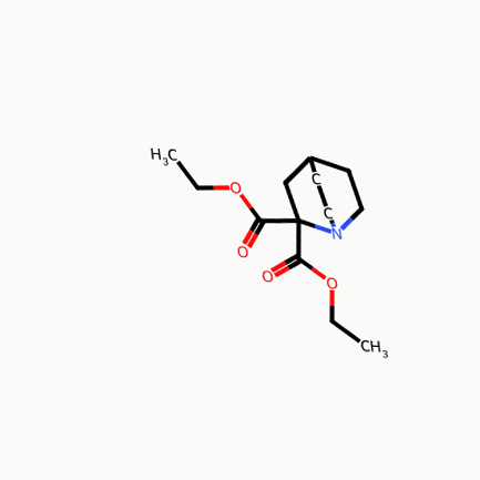 CCOC(=O)C1(C(=O)OCC)CC2CCN1CC2